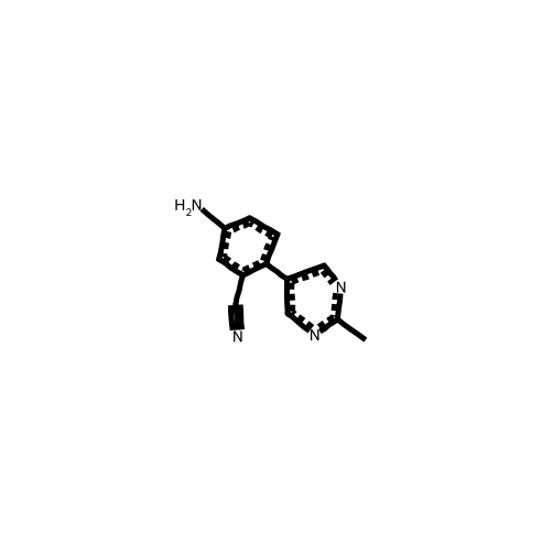 Cc1ncc(-c2ccc(N)cc2C#N)cn1